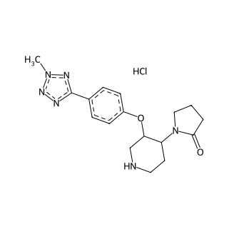 Cl.Cn1nnc(-c2ccc(OC3CNCCC3N3CCCC3=O)cc2)n1